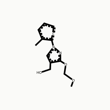 COCOc1nn(-c2ccccc2C)cc1CO